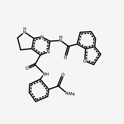 CNC(=O)c1ccccc1NC(=O)c1nc(NC(=O)c2cccc3ccoc23)nc2c1CCN2